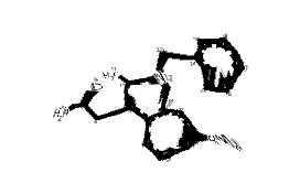 COc1ccc2c(CC(N)=O)c(C)n(Cc3ccccc3)c2c1